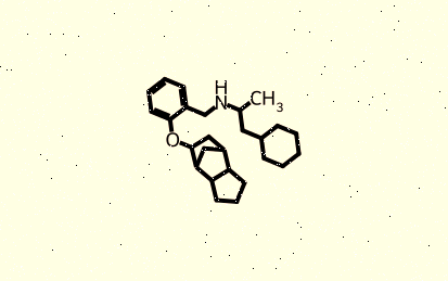 CC(CC1CCCCC1)NCc1ccccc1OC1CC2CC1C1CCCC21